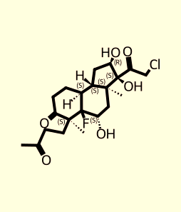 CC(=O)CC[C@@]1(C)C(=O)CC[C@H]2[C@@H]3C[C@@H](O)[C@](O)(C(=O)CCl)[C@@]3(C)C[C@H](O)C21F